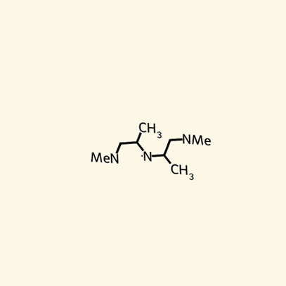 CNCC(C)[N]C(C)CNC